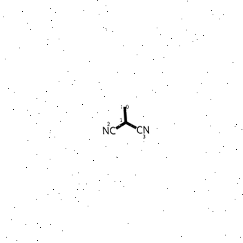 [CH]C(C#N)C#N